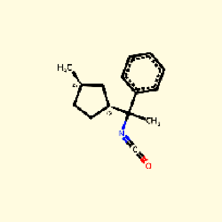 C[C@@H]1CC[C@H](C(C)(N=C=O)c2ccccc2)C1